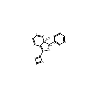 Cl[N+]12C=CN=CC1=C(C1=CC=C1)N=C2c1ccccc1